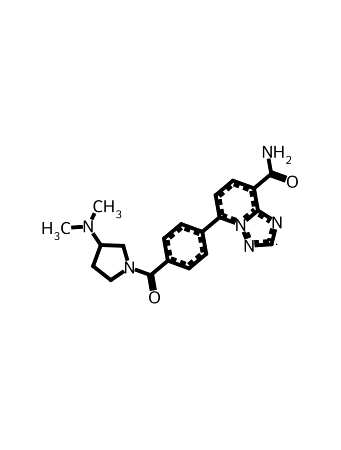 CN(C)C1CCN(C(=O)c2ccc(-c3ccc(C(N)=O)c4n[c]nn34)cc2)C1